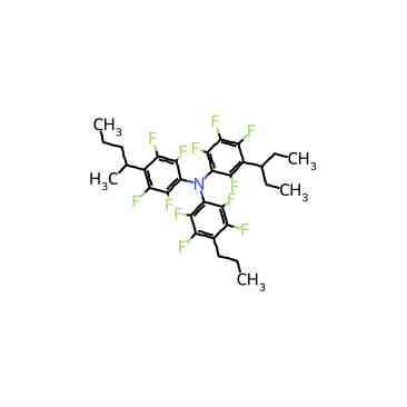 CCCc1c(F)c(F)c(N(c2c(F)c(F)c(C(C)CCC)c(F)c2F)c2c(F)c(F)c(F)c(C(CC)CC)c2F)c(F)c1F